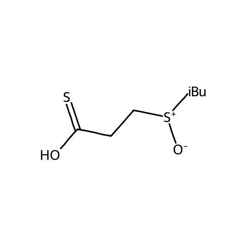 CCC(C)[S+]([O-])CCC(O)=S